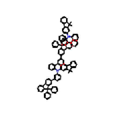 CC1(C)c2ccccc2-c2ccc(N(c3cccc(-c4ccc5c(c4)C(c4ccccc4)(c4ccccc4)c4ccccc4-5)c3)c3ccccc3-c3cccc(-c4ccc5c(c4)-c4ccc(-c6ccccc6N(c6ccc7c(c6)C(C)(C)c6ccccc6-7)c6ccccc6-c6ccccc6)cc4C5(c4ccccc4)c4ccccc4)c3)cc21